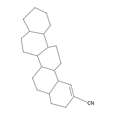 N#CC1=CC2C(CC1)CCC1C2CCC2C3CCCCC3CCC21